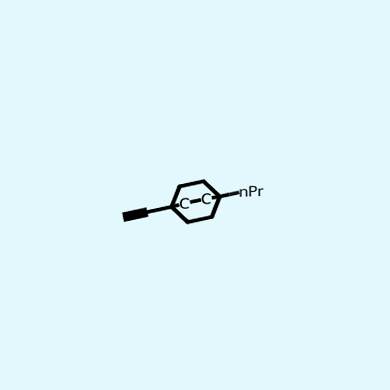 C#CC12CCC(CCC)(CC1)CC2